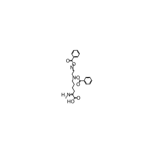 N[C@@H](CCCCN(CC=NOC(=O)c1ccccc1)OC(=O)c1ccccc1)C(=O)O